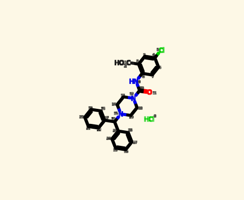 Cl.O=C(O)c1cc(Cl)ccc1NC(=O)N1CCN(C(c2ccccc2)c2ccccc2)CC1